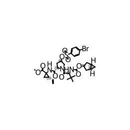 C=C[C@@H]1CC1(NC(=O)[C@@H]1C[C@@H](OS(=O)(=O)c2ccc(Br)cc2)CN1C(=O)[C@@H](NC(=O)O[C@@H]1C[C@@H]2C[C@@H]2C1)C(C)(C)C)C(=O)OC